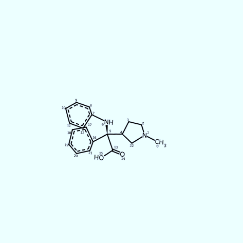 CN1CCC([C@](Nc2ccccc2)(C(=O)O)c2ccccc2)C1